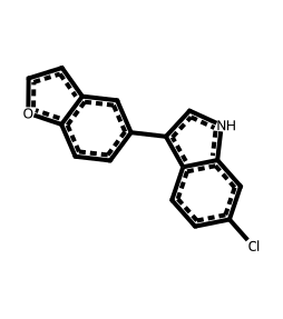 Clc1ccc2c(-c3ccc4occc4c3)c[nH]c2c1